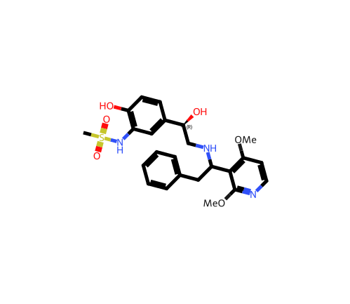 COc1ccnc(OC)c1C(Cc1ccccc1)NC[C@H](O)c1ccc(O)c(NS(C)(=O)=O)c1